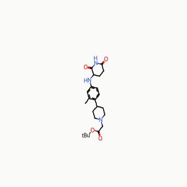 Cc1cc(NC2CCC(=O)NC2=O)ccc1C1CCN(CC(=O)OC(C)(C)C)CC1